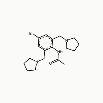 CC(=O)Nc1c(CN2CCCC2)cc(Br)cc1CN1CCCC1